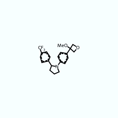 COC1(c2ccc(N3CCCC3c3ccc(C(F)(F)F)cc3)cc2)COC1